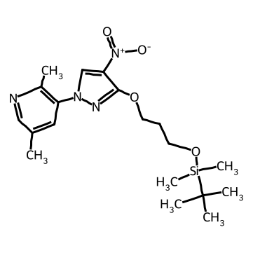 Cc1cnc(C)c(-n2cc([N+](=O)[O-])c(OCCCO[Si](C)(C)C(C)(C)C)n2)c1